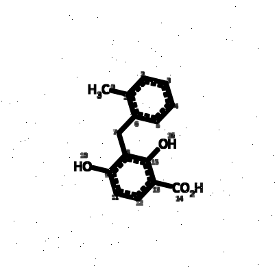 Cc1ccccc1Cc1c(O)ccc(C(=O)O)c1O